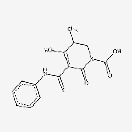 CC1CN(C(=O)O)C(=O)C(C(=S)Nc2ccccc2)=C1O